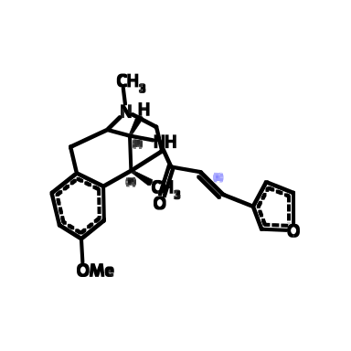 COc1ccc2c(c1)[C@@]1(C)CCN(C)C(C2)[C@@H]1NC(=O)/C=C/c1ccoc1